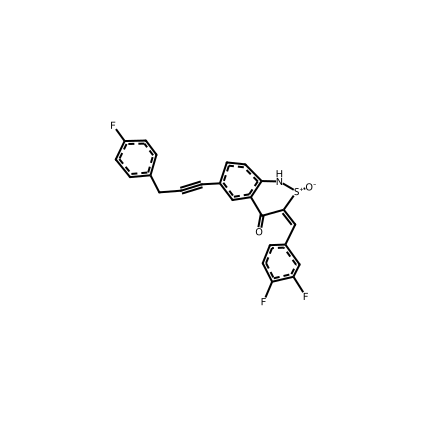 O=C1/C(=C\c2ccc(F)c(F)c2)[S+]([O-])Nc2ccc(C#CCc3ccc(F)cc3)cc21